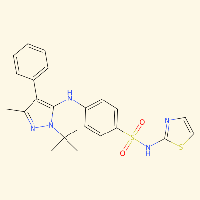 Cc1nn(C(C)(C)C)c(Nc2ccc(S(=O)(=O)Nc3nccs3)cc2)c1-c1ccccc1